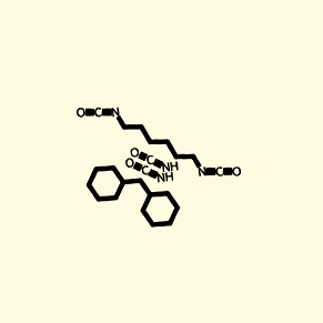 C1CCC(CC2CCCCC2)CC1.N=C=O.N=C=O.O=C=NCCCCCCN=C=O